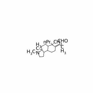 CCCC1(C)/C(=C(/C)C=O)CCC2C1CCC1(C)C2CCN1C